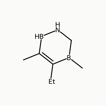 CCC1=C(C)BNCB1C